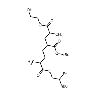 CCCCC(CC)COC(=O)C(C)CCC(CC(C)C(=O)OCCO)C(=O)OC(C)(C)C